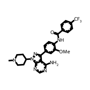 COc1cc(-c2nn(C3CCN(C)CC3)c3ncnc(N)c23)ccc1NC(=O)c1ccc(C(F)(F)F)cc1